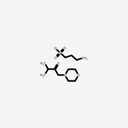 CC(C)C(=O)C[S+]1CCOCC1.CCCCS(=O)(=O)[O-]